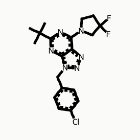 CC(C)(C)c1nc(N2CCC(F)(F)C2)c2nnn(Cc3ccc(Cl)cc3)c2n1